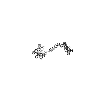 CCOc1cc([C@@H](CS(C)(=O)=O)N2C(=O)c3cccc(N4CCC(CCN5CCN(c6ccc(Oc7ccc8c(N9CCC(=O)NC9=O)nn(C)c8c7)cc6)CC5)CC4)c3C2=O)ccc1OC